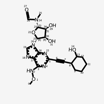 CONc1nc(C#CC2CCCCC2O)nc2c1ncn2[C@@H]1O[C@H](N(C)C=O)[C@@H](O)[C@H]1O